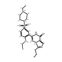 CCCc1ncc2c(=O)[nH]c(-c3cc(S(=O)(=O)N4CCN(CC)CC4)ccc3OCC)nn12